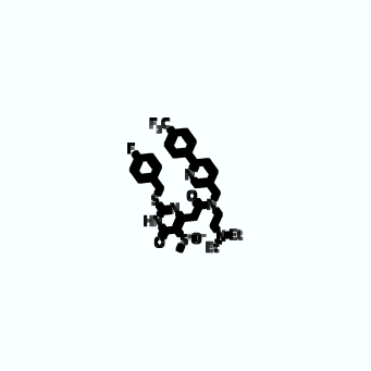 CCN(CC)CCN(Cc1ccc(-c2ccc(C(F)(F)F)cc2)nc1)C(=O)Cc1nc(SCc2ccc(F)cc2)[nH]c(=O)c1[S+](C)[O-]